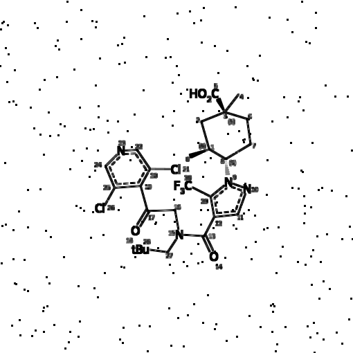 C[C@H]1C[C@@](C)(C(=O)O)CC[C@@H]1n1ncc(C(=O)N(CC(=O)c2c(Cl)cncc2Cl)CC(C)(C)C)c1C(F)(F)F